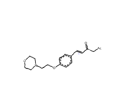 CC(=O)CC(=O)/C=C/c1ccc(OCCN2CCOCC2)cc1